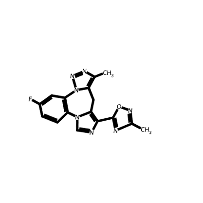 Cc1noc(-c2ncn3c2Cc2c(C)nnn2-c2cc(F)ccc2-3)n1